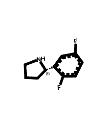 Fc1ccc(F)c([C@@H]2CCCN2)c1